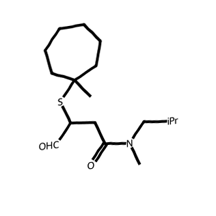 CC(C)CN(C)C(=O)CC(C=O)SC1(C)CCCCCC1